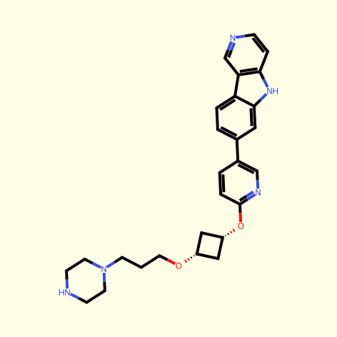 c1cc2[nH]c3cc(-c4ccc(O[C@H]5C[C@@H](OCCCN6CCNCC6)C5)nc4)ccc3c2cn1